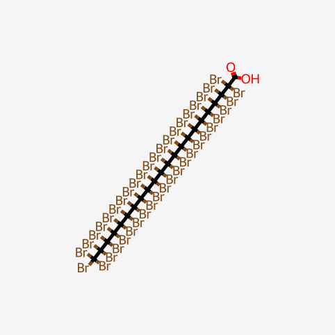 O=C(O)C(Br)(Br)C(Br)(Br)C(Br)(Br)C(Br)(Br)C(Br)(Br)C(Br)(Br)C(Br)(Br)C(Br)(Br)C(Br)(Br)C(Br)(Br)C(Br)(Br)C(Br)(Br)C(Br)(Br)C(Br)(Br)C(Br)(Br)C(Br)(Br)C(Br)(Br)C(Br)(Br)C(Br)(Br)C(Br)(Br)C(Br)(Br)Br